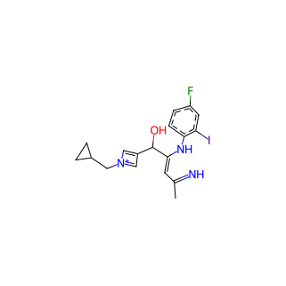 CC(=N)/C=C(\Nc1ccc(F)cc1I)C(O)C1=C[N+](CC2CC2)=C1